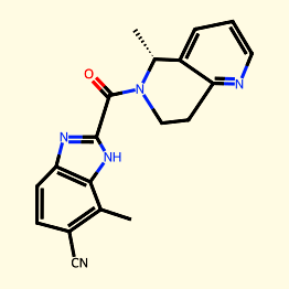 Cc1c(C#N)ccc2nc(C(=O)N3CCc4ncccc4[C@H]3C)[nH]c12